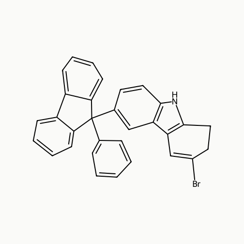 BrC1=Cc2c([nH]c3ccc(C4(c5ccccc5)c5ccccc5-c5ccccc54)cc23)CC1